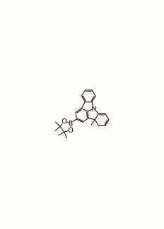 CC12CC=CC=C1n1c3ccccc3c3cc(B4OC(C)(C)C(C)(C)O4)cc2c31